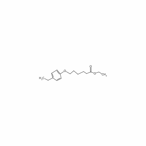 CCOC(=O)CCCCCOc1ccc(CC)cc1